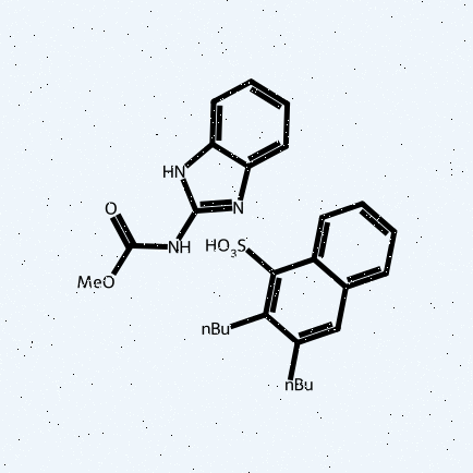 CCCCc1cc2ccccc2c(S(=O)(=O)O)c1CCCC.COC(=O)Nc1nc2ccccc2[nH]1